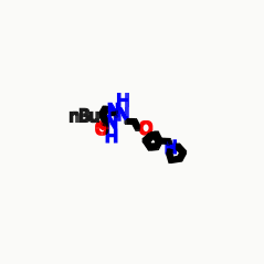 CCCCc1cnc(NCCCOc2cccc(CN3CCCCC3)c2)[nH]c1=O